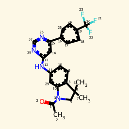 CC(=O)N1CC(C)(C)c2ccc(Nc3cc(-c4ccc(C(F)(F)F)cc4)ncn3)cc21